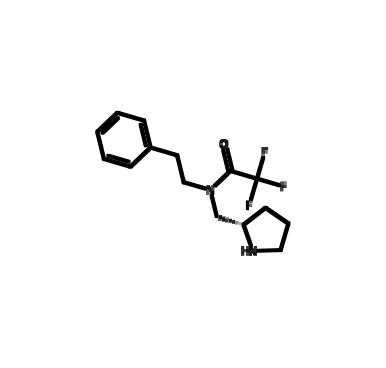 O=C(N(CCc1ccccc1)C[C@@H]1CCCN1)C(F)(F)F